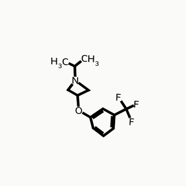 CC(C)N1CC(Oc2cccc(C(F)(F)F)c2)C1